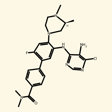 C[C@H]1CN(c2cc(F)c(-c3ccc(C(=O)N(C)C)cc3)cc2Nc2ncnc(Cl)c2N)CCN1C